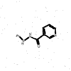 CC(C)NNC(=O)c1cccnc1